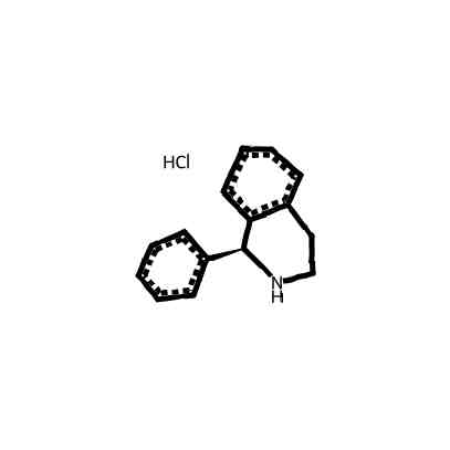 Cl.c1ccc([C@@H]2NCCc3ccccc32)cc1